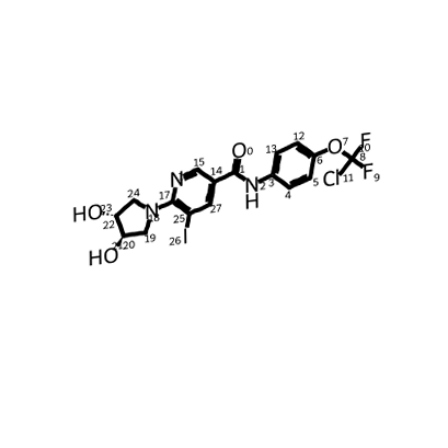 O=C(Nc1ccc(OC(F)(F)Cl)cc1)c1cnc(N2C[C@@H](O)[C@H](O)C2)c(I)c1